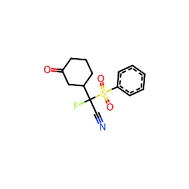 N#CC(F)(C1CCCC(=O)C1)S(=O)(=O)c1ccccc1